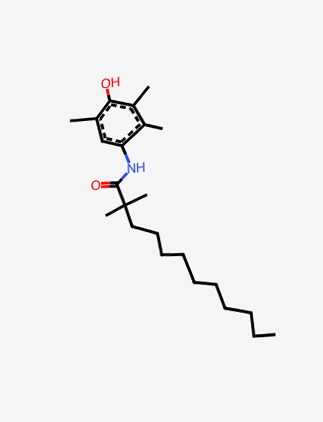 CCCCCCCCCCC(C)(C)C(=O)Nc1cc(C)c(O)c(C)c1C